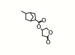 CC1CC2CC1CC2C(=O)OC1COC(=O)C1